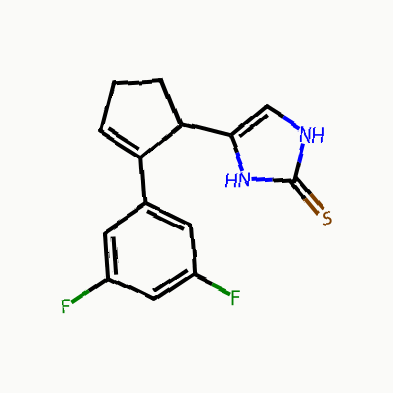 Fc1cc(F)cc(C2=CCCC2c2c[nH]c(=S)[nH]2)c1